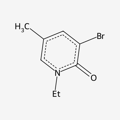 CCn1cc(C)cc(Br)c1=O